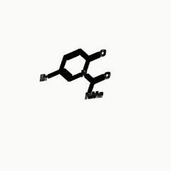 CNC(=O)n1cc(Br)ccc1=O